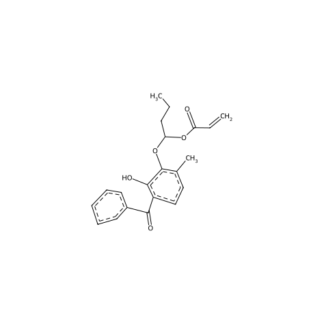 C=CC(=O)OC(CCC)Oc1c(C)ccc(C(=O)c2ccccc2)c1O